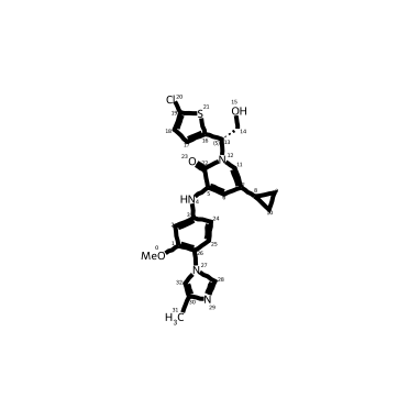 COc1cc(Nc2cc(C3CC3)cn([C@@H](CO)c3ccc(Cl)s3)c2=O)ccc1-n1cnc(C)c1